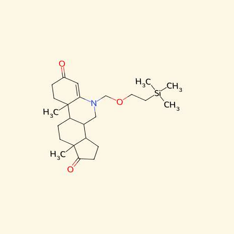 CC12CCC3C(CN(COCC[Si](C)(C)C)C4=CC(=O)CCC43C)C1CCC2=O